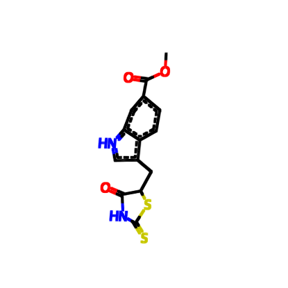 COC(=O)c1ccc2c(CC3SC(=S)NC3=O)c[nH]c2c1